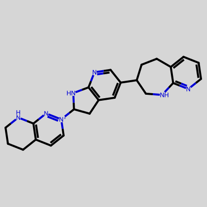 c1cnc2c(c1)CCC(c1cnc3c(c1)CC([n+]1ccc4c(n1)NCCC4)N3)CN2